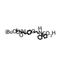 CC(C)COC(C)ONC(=O)C=Cc1ccc(OCCCN[C@H](C(=O)O)C2(C3CCCC3)CCCCC2)cc1